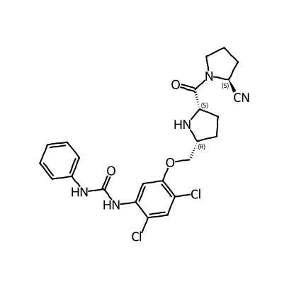 N#C[C@@H]1CCCN1C(=O)[C@@H]1CC[C@H](COc2cc(NC(=O)Nc3ccccc3)c(Cl)cc2Cl)N1